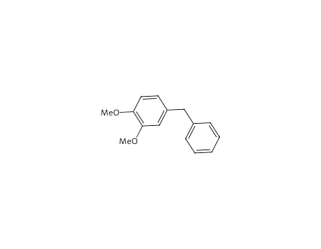 COc1ccc(Cc2ccccc2)cc1OC